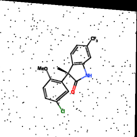 COc1ccc(Cl)cc1[C@@]1(C)C(=O)Nc2cc(C(F)(F)F)ccc21